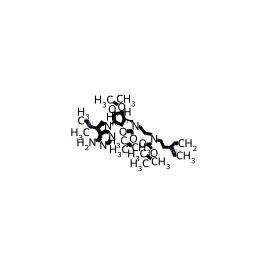 C=C/C(=C\C)CCN(CCCN(C[C@H]1C[C@@H](n2cc(/C(C)=C/C)c3c(N)ncnc32)[C@@H]2OC(C)(C)O[C@H]12)C(=O)OC(C)(C)C)C(=O)OC(C)(C)C